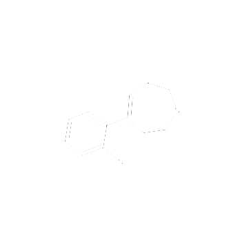 O=[N+]([O-])c1ccccc1C1=CCCNCC1